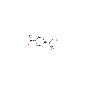 CCC(=O)N1CCC(C(OI)C(F)(F)F)CC1